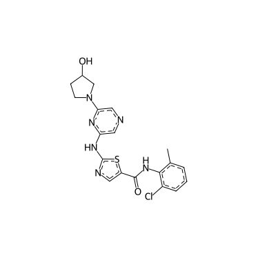 Cc1cccc(Cl)c1NC(=O)c1cnc(Nc2cncc(N3CCC(O)C3)n2)s1